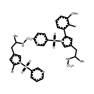 CC(C)(C)C(Cc1cc(Br)n(S(=O)(=O)c2cccnc2)c1)NC(=O)O.COc1cccc(-c2cc(CC(NC(=O)O)C(C)(C)C)cn2S(=O)(=O)c2cccnc2)c1F